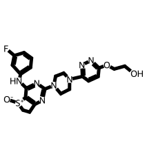 [O-][S+]1CCc2nc(N3CCN(c4ccc(OCCO)nn4)CC3)nc(Nc3cccc(F)c3)c21